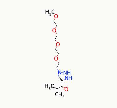 COCCOCCOCCOCCN1C=C(C(=O)C(C)C)NN1